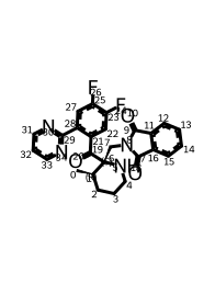 C[C@@H]1CCCN[C@@]1(CN1C(=O)c2ccccc2C1=O)C(=O)c1cc(F)c(F)cc1-c1ncccn1